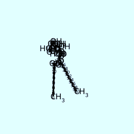 CC#CC#CC#CC#CC#CC#CC(=O)OC[C@H](COP(=O)(O)OC1C(O)[C@H](OP(=O)(O)O)[C@H](OP(=O)(O)O)C(O)[C@@H]1O)OC(=O)CCCCCCCCCCCCCCC